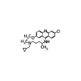 COc1ccc2nc3cc(Cl)ccc3c(NC(C)CCCN(C)CC3CC3)c2c1